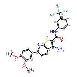 COc1ccc(-c2ccc3c(N)c(C(=O)Nc4cccc(C(F)(F)F)c4)sc3n2)cc1OC